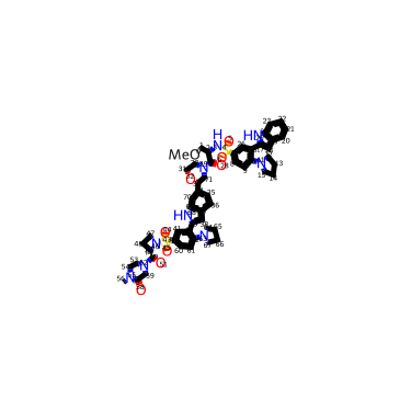 COCC(NS(=O)(=O)c1ccc(N2CCCC2)c(-c2cc3ccccc3[nH]2)c1)C(=O)N1CCOC(c2ccc3cc(-c4cc(S(=O)(=O)N5CC[C@H]5C(=O)N5CCN(C)C(=O)C5)ccc4N4CCCC4)[nH]c3c2)C1